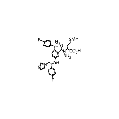 CSCC[C@@H](C(=O)O)N(N)C(=O)c1cc(NC(Cn2ccnc2)c2ccc(F)cc2)ccc1C(C)c1ccc(F)cc1